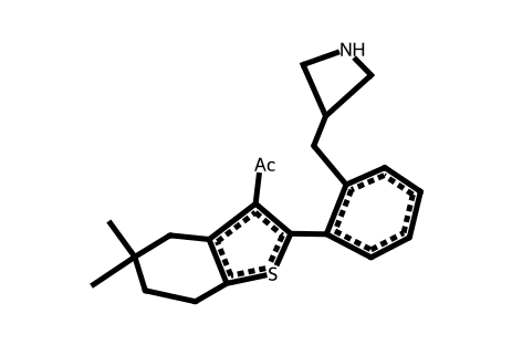 CC(=O)c1c(-c2ccccc2CC2CNC2)sc2c1CC(C)(C)CC2